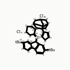 CC(C)(C)c1ccc2c(c1)[CH]([Zr+2]([C]1=C(C34CC5CC(CC(C5)C3)C4)C=CC1)=[C]1CCCCC1)c1cc(C(C)(C)C)ccc1-2.[Cl-].[Cl-]